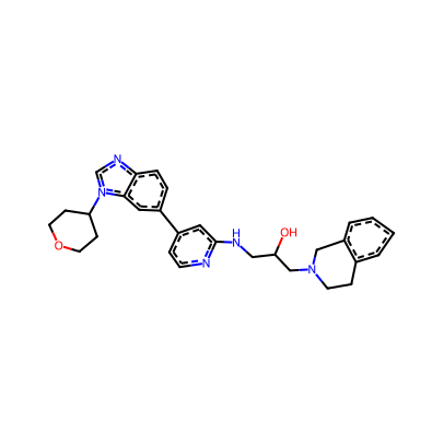 OC(CNc1cc(-c2ccc3ncn(C4CCOCC4)c3c2)ccn1)CN1CCc2ccccc2C1